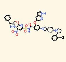 O=C(NS(=O)(=O)c1cc([N+](=O)[O-])c2c(n1)OC[C@H](Cc1ccccc1)N2)c1ccc(N2CC3(CCC(N4CCCC4c4ccccc4C4CC4)CC3)C2)cc1Oc1cnc2[nH]ccc2c1